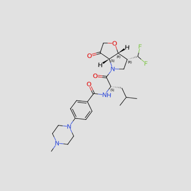 CC(C)C[C@H](NC(=O)c1ccc(N2CCN(C)CC2)cc1)C(=O)N1C[C@@H](C(F)F)[C@H]2OCC(=O)[C@H]21